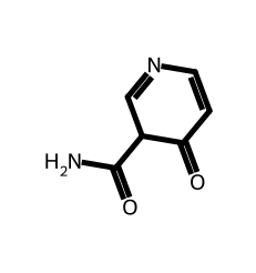 NC(=O)C1C=NC=CC1=O